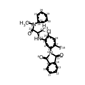 CC(Nc1cc(N2C(=O)c3ccccc3C2=O)c(F)cc1Cl)C(=O)N(C)c1ccccc1